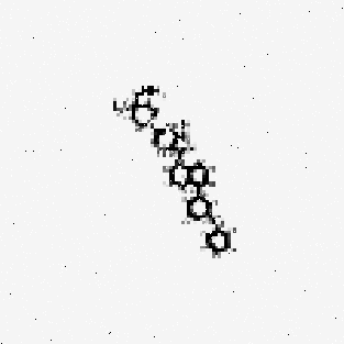 CC1(CN)CCN(c2cnc3c(N4CCCc5c(-c6cccc(Oc7ccccc7)c6)cccc54)n[nH]c3n2)CC1